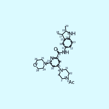 CC(=O)N1CCN(c2cc(C(=O)Nc3ccc4c(c3)C(C)C(C)N4)nc(N3CCOCC3)c2)CC1